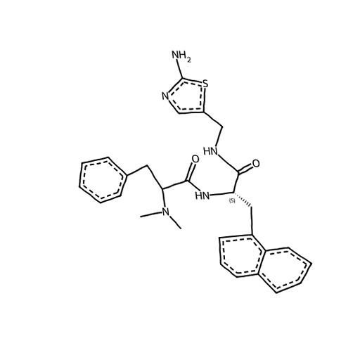 CN(C)C(Cc1ccccc1)C(=O)N[C@@H](Cc1cccc2ccccc12)C(=O)NCc1cnc(N)s1